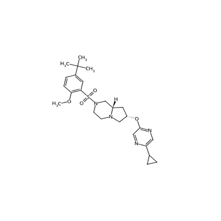 COc1ccc(C(C)(C)C)cc1S(=O)(=O)N1CCN2C[C@@H](Oc3cnc(C4CC4)cn3)C[C@H]2C1